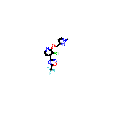 Cn1ccc(COc2nccc(-c3noc(C(F)(F)F)n3)c2Cl)n1